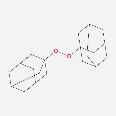 C1C2CC3CC1CC(OOC14CC5CC(CC(C5)C1)C4)(C2)C3